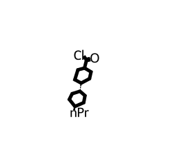 CCC[C@H]1CC[C@H](C2CCC(C(=O)Cl)CC2)CC1